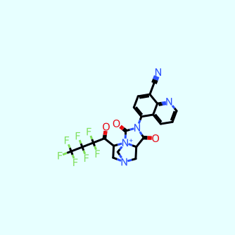 N#Cc1ccc(N2C(=O)C3CN4CC(C(=O)C(F)(F)C(F)(F)C(F)(F)F)[N+]3(C4)C2=O)c2cccnc12